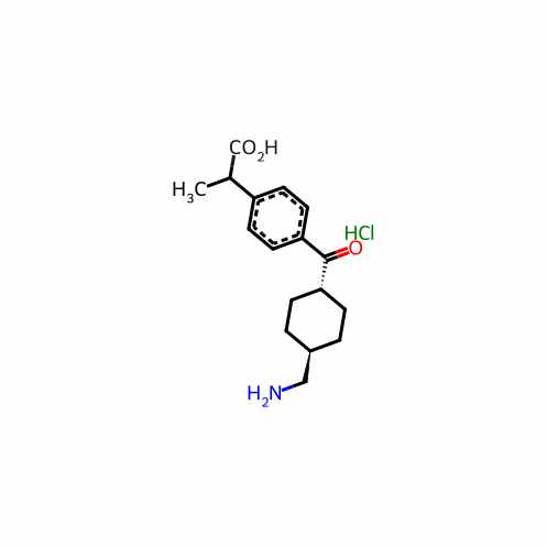 CC(C(=O)O)c1ccc(C(=O)[C@H]2CC[C@H](CN)CC2)cc1.Cl